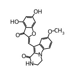 COc1ccc2c(c1)c(C=C1Oc3cc(O)cc(O)c3C1=O)c1n2CCNC1=O